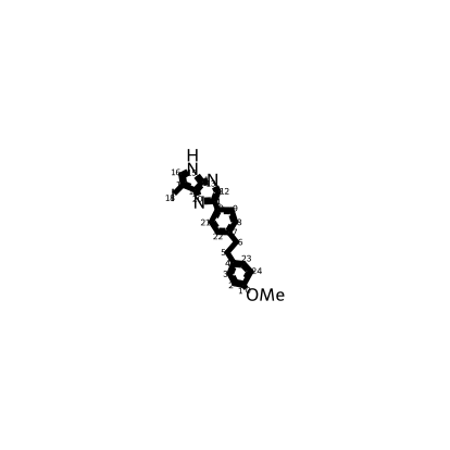 COc1ccc(CCc2ccc(-c3cnc4[nH]cc(I)c4n3)cc2)cc1